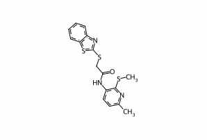 CSc1nc(C)ccc1NC(=O)CSc1nc2ccccc2s1